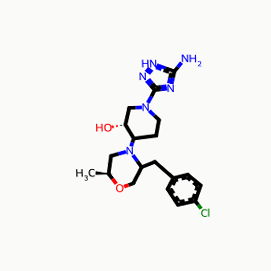 C[C@H]1CN(C2CCN(c3n[nH]c(N)n3)C[C@H]2O)C(Cc2ccc(Cl)cc2)CO1